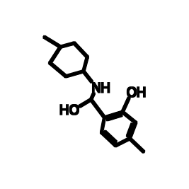 Cc1ccc(C(O)NC2CCC(C)CC2)c(O)c1